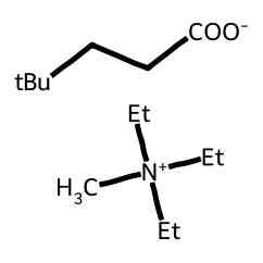 CC(C)(C)CCC(=O)[O-].CC[N+](C)(CC)CC